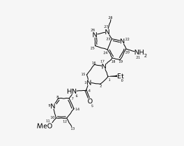 CC[C@H]1CN(C(=O)Nc2cnc(OC)c(C)c2)CCN1c1cc(N)nc2c1cnn2C